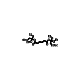 CCCCCCCCCCCC(OCC)(OCC)OC(=O)CCCCC(=O)OC(CCCCCCCCCCC)(OCC)OCC